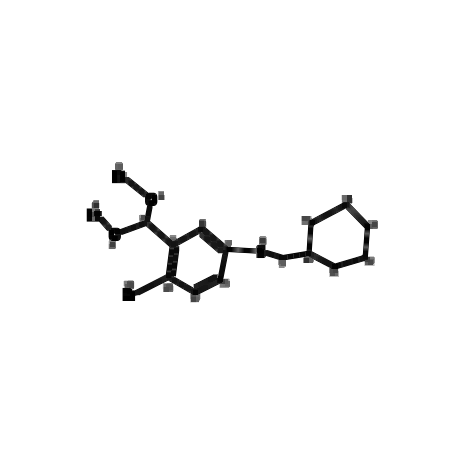 CCOC(OCC)c1cc(SCC2CCCCC2)ccc1Br